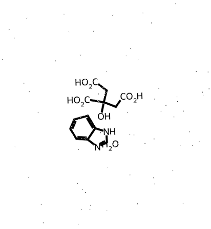 O.O=C(O)CC(O)(CC(=O)O)C(=O)O.c1ccc2[nH]cnc2c1